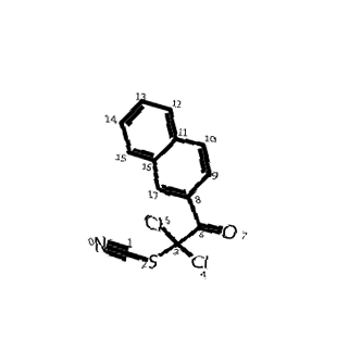 N#CSC(Cl)(Cl)C(=O)c1ccc2ccccc2c1